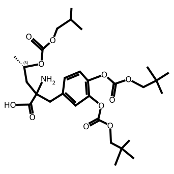 CC(C)COC(=O)O[C@@H](C)CC(N)(Cc1ccc(OC(=O)OCC(C)(C)C)c(OC(=O)OCC(C)(C)C)c1)C(=O)O